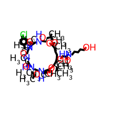 C/C=C(\C)[C@H]1OC(=O)C(C)(C)NC(=O)[C@H](C(C)CC)NC(=O)CN(C)C(=O)[C@@H](Cc2ccc(Cl)cc2)N(C)C(=O)[C@H](C)NC(=O)[C@@H](CC(C)C)OC(=O)/C(C)=C/C[C@H](OCC(=O)NCCCCCO)[C@@H]1C